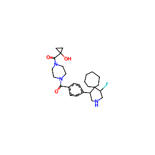 O=C(c1ccc(C2CNCC(F)C23CCCCCC3)cc1)N1CCN(C(=O)C2(O)CC2)CC1